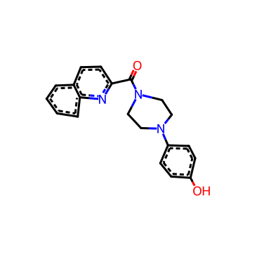 O=C(c1ccc2ccccc2n1)N1CCN(c2ccc(O)cc2)CC1